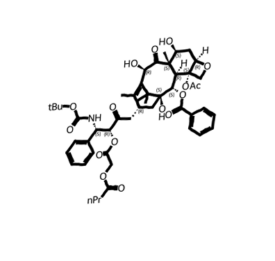 CCCC(=O)OCC(=O)O[C@@H](C(=O)C[C@H]1C[C@@]2(O)[C@@H](OC(=O)c3ccccc3)[C@@H]3[C@]4(OC(C)=O)CO[C@@H]4C[C@H](O)[C@@]3(C)C(=O)[C@H](O)C(=C1C)C2(C)C)[C@@H](NC(=O)OC(C)(C)C)c1ccccc1